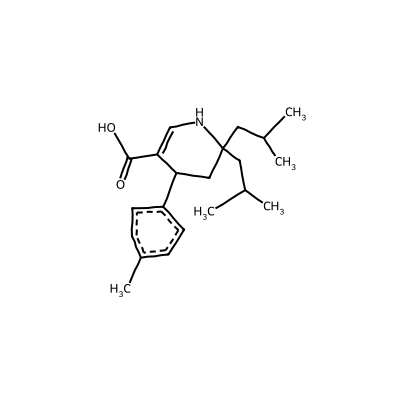 Cc1ccc(C2CC(CC(C)C)(CC(C)C)NC=C2C(=O)O)cc1